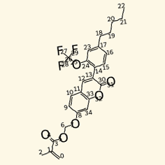 C=C(C)C(=O)OCOc1ccc2cc(-c3ccc(CCCCC)cc3OC(F)(F)F)c(=O)oc2c1